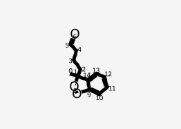 CC1(CCCC=O)OOc2ccccc21